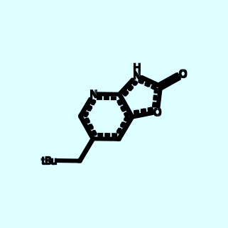 CC(C)(C)Cc1cnc2[nH]c(=O)oc2c1